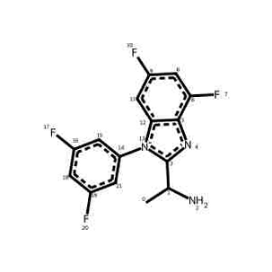 CC(N)c1nc2c(F)cc(F)cc2n1-c1cc(F)cc(F)c1